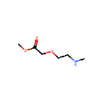 CNCCOCC(=O)OC